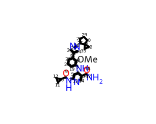 COc1c(Nc2cc(NC(=O)C3CC3)ncc2C(N)=O)cccc1-c1cnn([C@H]2CCCC23CC3)c1